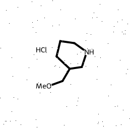 COCC1CCCNC1.Cl